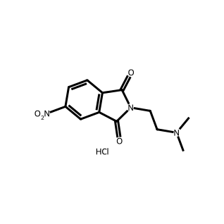 CN(C)CCN1C(=O)c2ccc([N+](=O)[O-])cc2C1=O.Cl